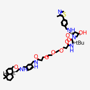 CC1=CC[C@H]2C(C)(C)CCC[C@]2(C)[C@@H]1CC(=O)NCc1cccc(CNC(=O)CCOCCOCCOCCC(=O)N[C@H](C(=O)N2C[C@H](O)C[C@H]2C(=O)NCc2ccc(-c3scnc3C)cc2)C(C)(C)C)c1